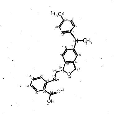 Cc1ccc(N(C)c2ccc3c(c2)CO[C@H]3CNc2cnccc2C(=O)O)cc1